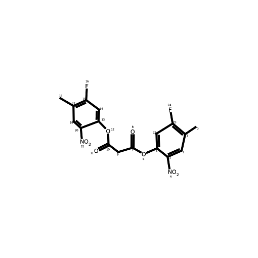 Cc1cc([N+](=O)[O-])c(OC(=O)CC(=O)Oc2cc(F)c(C)cc2[N+](=O)[O-])cc1F